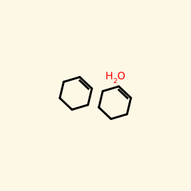 C1=CCCCC1.C1=CCCCC1.O